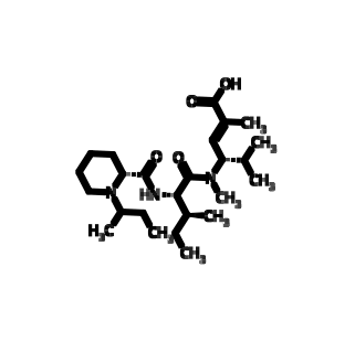 CCC(C)N1CCCC[C@@H]1C(=O)N[C@H](C(=O)N(C)[C@H](/C=C(\C)C(=O)O)C(C)C)[C@@H](C)CC